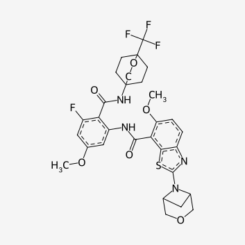 COc1cc(F)c(C(=O)NC23CCC(C(F)(F)F)(CC2)OC3)c(NC(=O)c2c(OC)ccc3nc(N4C5COCC4C5)sc23)c1